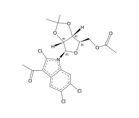 CC(=O)OC[C@H]1O[C@@H](n2c(Cl)c(C(C)=O)c3cc(Cl)c(Cl)cc32)[C@@H]2OC(C)(C)O[C@@H]21